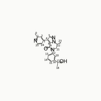 Cc1cc(-c2cnn3c2C(=O)N(c2cccc(C(C)O)c2)C[C@@H]3C)ccn1